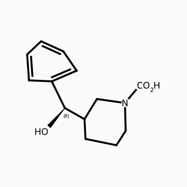 O=C(O)N1CCCC([C@@H](O)c2ccccc2)C1